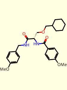 COc1ccc(CNC(=O)[C@H](COCC2CCCCC2)NC(=O)c2ccc(OC)cc2)cc1